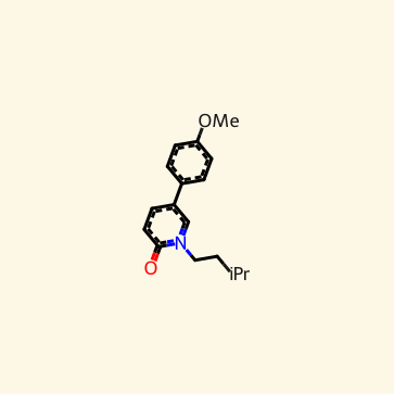 COc1ccc(-c2ccc(=O)n(CCC(C)C)c2)cc1